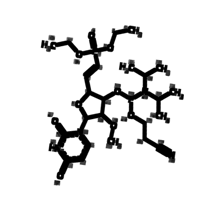 CCOP(=O)(/C=C/C1OC(n2ccc(=O)[nH]c2=O)C(OC)C1OP(OCCC#N)N(C(C)C)C(C)C)OCC